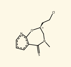 CN1C[C@H](CCCl)Oc2ncccc2C1=S